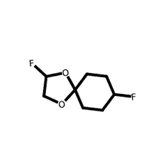 FC1CCC2(CC1)OCC(F)O2